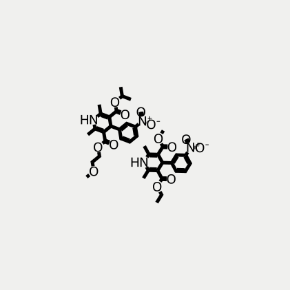 CCOC(=O)C1=C(C)NC(C)=C(C(=O)OC)C1c1cccc([N+](=O)[O-])c1.COCCOC(=O)C1=C(C)NC(C)=C(C(=O)OC(C)C)C1c1cccc([N+](=O)[O-])c1